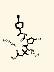 C#Cc1ccc(C(C)NC(=O)[C@@H]2C[C@@H](O)CN2C(=O)C(NC(=O)O)C(C)(C)CC(N)=O)cc1.NC(=O)O